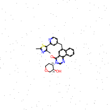 Cc1nc(C)c(-c2cc(Cc3cc4c(=O)n([C@H]5CCOC[C@@H]5O)cnc4c4ccccc34)ccn2)s1